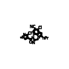 CCCc1cc2c(Cl)c(C#N)ccc2n1Cc1noc(-c2cn(C)nc2C(F)(F)F)n1